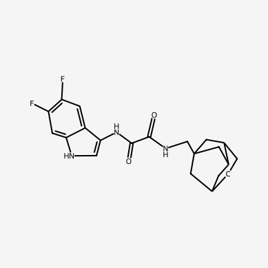 O=C(NCC12CC3CCC(C1)C(C3)C2)C(=O)Nc1c[nH]c2cc(F)c(F)cc12